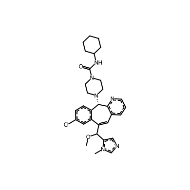 COC(C1=Cc2cccnc2[C@@H](N2CCN(C(=O)NC3CCCCC3)CC2)c2ccc(Cl)cc21)c1cncn1C